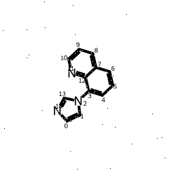 [c]1cn(-c2cccc3cccnc23)cn1